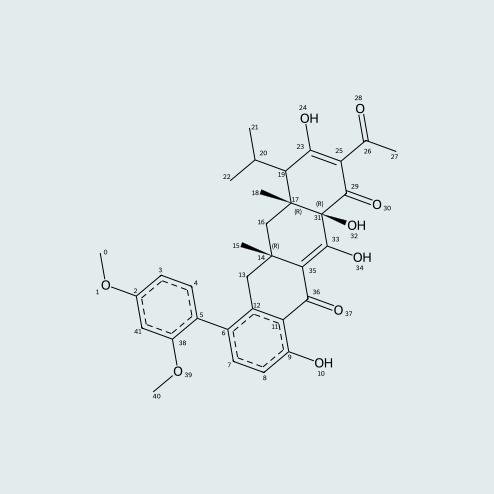 COc1ccc(-c2ccc(O)c3c2C[C@]2(C)C[C@]4(C)C(C(C)C)C(O)=C(C(C)=O)C(=O)[C@]4(O)C(O)=C2C3=O)c(OC)c1